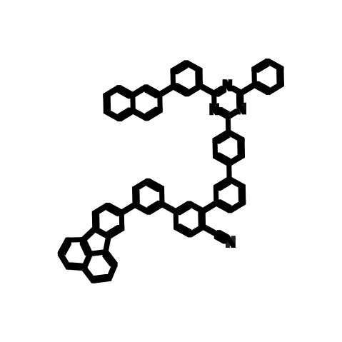 N#Cc1ccc(-c2cccc(-c3ccc4c(c3)-c3cccc5cccc-4c35)c2)cc1-c1cccc(-c2ccc(-c3nc(-c4ccccc4)nc(-c4cccc(-c5ccc6ccccc6c5)c4)n3)cc2)c1